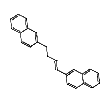 [C](=Cc1ccc2ccccc2c1)CCc1ccc2ccccc2c1